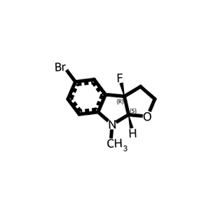 CN1c2ccc(Br)cc2[C@]2(F)CCO[C@H]12